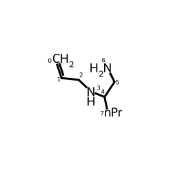 C=CCNC(CN)CCC